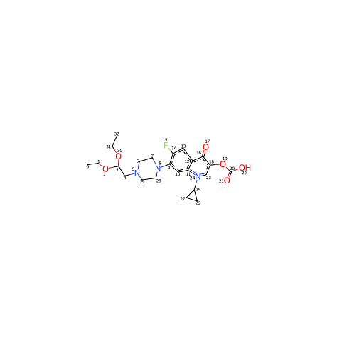 CCOC(CN1CCN(c2cc3c(cc2F)c(=O)c(OC(=O)O)cn3C2CC2)CC1)OCC